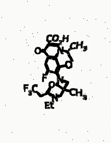 CCN(CC1(C)CN(c2c(F)cc3c(=O)c(C(=O)O)cn4c3c2OC[C@H]4C)C1)C(=O)CC(F)(F)F